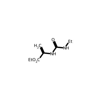 C=C(NC(=O)NCC)C(=O)OCC